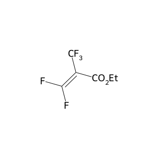 CCOC(=O)C(=C(F)F)C(F)(F)F